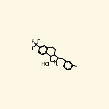 Cc1cccc(CC2C3CCc4cc(C(F)(F)F)ccc4C3CN2C)c1.Cl